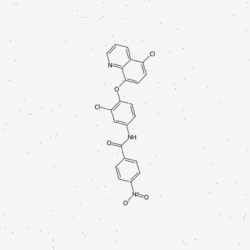 O=C(Nc1ccc(Oc2ccc(Cl)c3cccnc23)c(Cl)c1)c1ccc([N+](=O)[O-])cc1